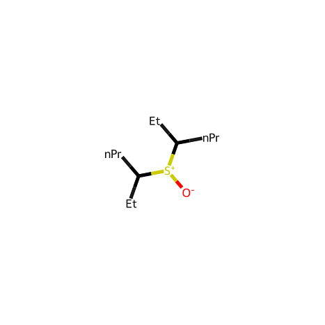 CCCC(CC)[S+]([O-])C(CC)CCC